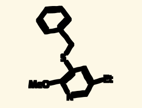 CCc1cnc(OC)c(SCc2ccccc2)c1